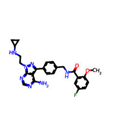 COc1ccc(F)cc1C(=O)NCc1ccc(-c2nn(CCNC3CC3)c3ncnc(N)c23)cc1